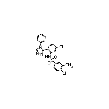 Cc1cc(S(=O)(=O)Nc2cc(Cl)ccc2-c2nncn2-c2ccccc2)ccc1Cl